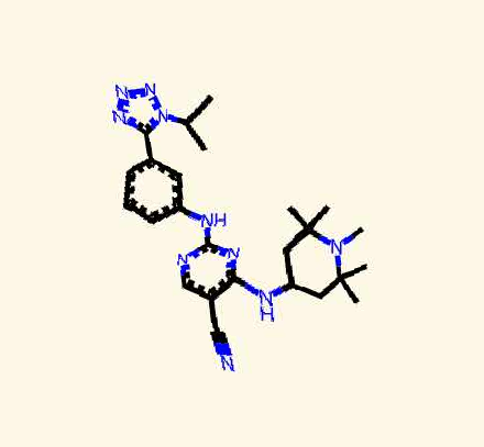 CC(C)n1nnnc1-c1cccc(Nc2ncc(C#N)c(NC3CC(C)(C)N(C)C(C)(C)C3)n2)c1